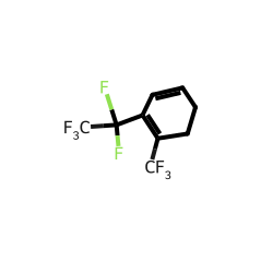 FC(F)(F)C1=C(C(F)(F)C(F)(F)F)C=CCC1